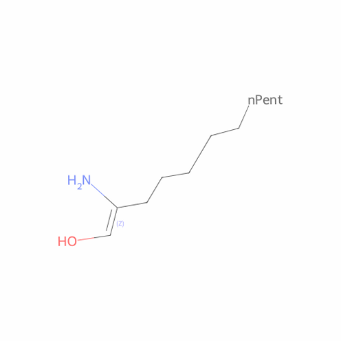 CCCCCCCCCC/C(N)=C/O